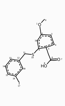 COc1ccc(C(=O)O)c(SCc2cccc(I)c2)c1